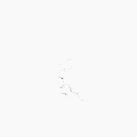 COCc1cccc(C(=O)NC2(C)CCN(C)CC2)c1